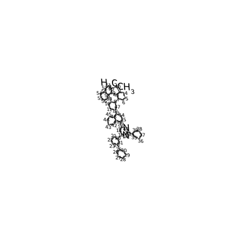 CC1(C)c2cccc(-c3cccc(-c4ccc(-c5cc(-c6cccc(-c7ccccc7)c6)nc(-c6ccccc6)n5)c5ccccc45)c3)c2-c2c1ccc1ccccc21